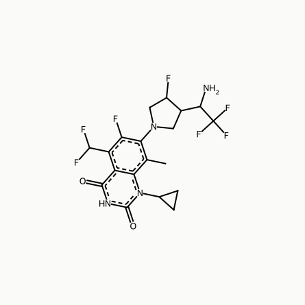 Cc1c(N2CC(F)C(C(N)C(F)(F)F)C2)c(F)c(C(F)F)c2c(=O)[nH]c(=O)n(C3CC3)c12